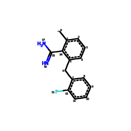 [CH2]c1cccc(Cc2ccccc2F)c1C(=N)N